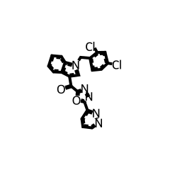 O=C(c1nnc(-c2cccnn2)o1)c1cn(Cc2ccc(Cl)cc2Cl)c2ccccc12